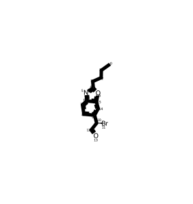 CCCCc1nc2ccc([C@H](Br)C=O)cc2o1